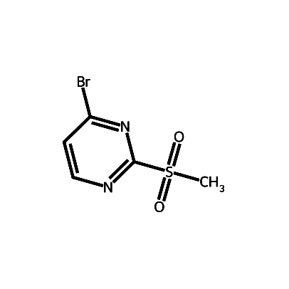 CS(=O)(=O)c1nccc(Br)n1